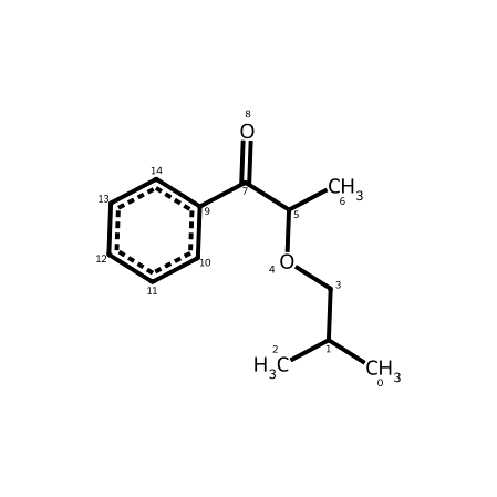 CC(C)COC(C)C(=O)c1ccccc1